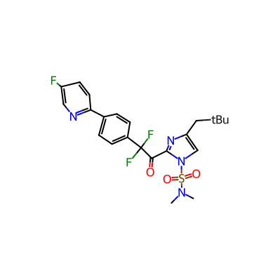 CN(C)S(=O)(=O)n1cc(CC(C)(C)C)nc1C(=O)C(F)(F)c1ccc(-c2ccc(F)cn2)cc1